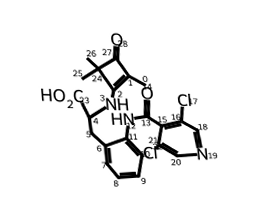 CC1=C(NC(Cc2ccccc2NC(=O)c2c(Cl)cncc2Cl)C(=O)O)C(C)(C)C1=O